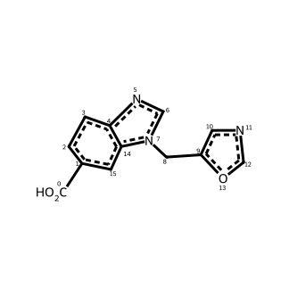 O=C(O)c1ccc2ncn(Cc3cnco3)c2c1